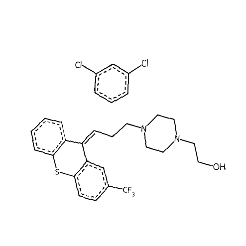 Clc1cccc(Cl)c1.OCCN1CCN(CCC=C2c3ccccc3Sc3ccc(C(F)(F)F)cc32)CC1